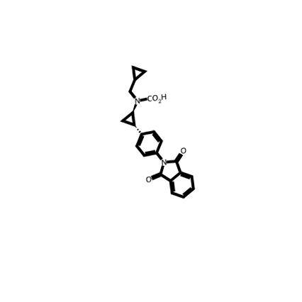 O=C1c2ccccc2C(=O)N1c1ccc([C@@H]2C[C@H]2N(CC2CC2)C(=O)O)cc1